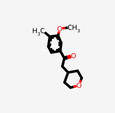 COc1cc(C(=O)CC2CCOCC2)ccc1C